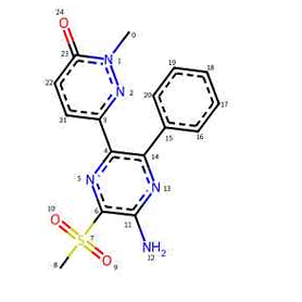 Cn1nc(-c2nc(S(C)(=O)=O)c(N)nc2-c2ccccc2)ccc1=O